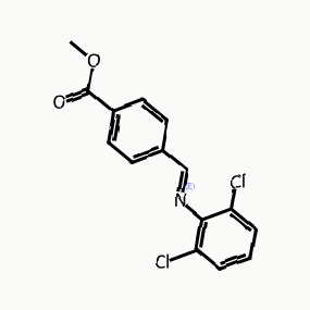 COC(=O)c1ccc(/C=N/c2c(Cl)cccc2Cl)cc1